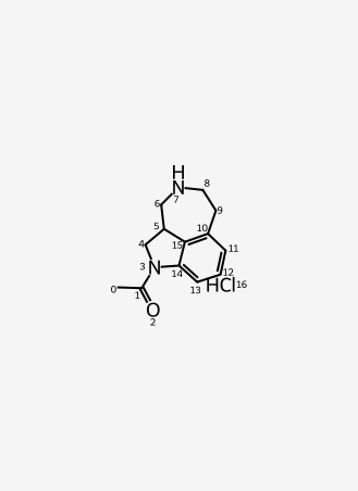 CC(=O)N1CC2CNCCc3cccc1c32.Cl